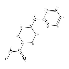 COC(=O)C1CCC(Oc2cccnc2)CC1